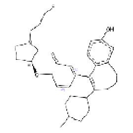 C=C/C=C(\C=C/CO[C@H]1CCN(CCCF)C1)C1=C(C2CCC(C)CC2)CCCc2cc(O)ccc21